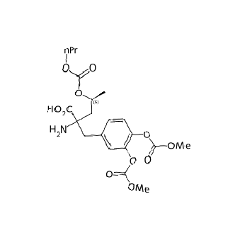 CCCOC(=O)O[C@@H](C)CC(N)(Cc1ccc(OC(=O)OC)c(OC(=O)OC)c1)C(=O)O